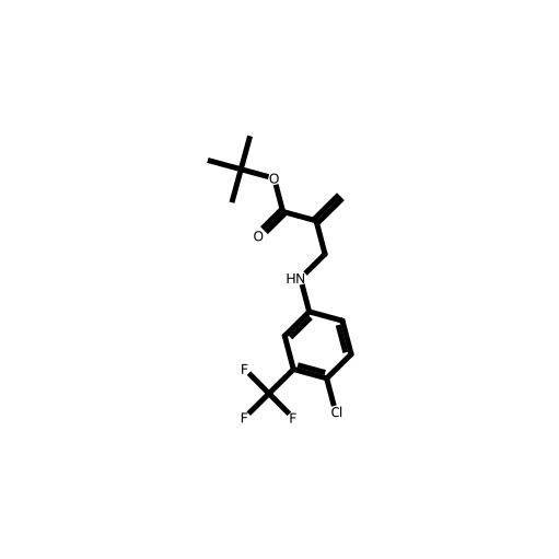 C=C(CNc1ccc(Cl)c(C(F)(F)F)c1)C(=O)OC(C)(C)C